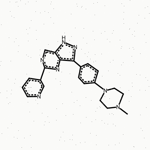 CN1CCN(c2ccc(-c3n[nH]c4cnc(-c5cccnc5)nc34)cc2)CC1